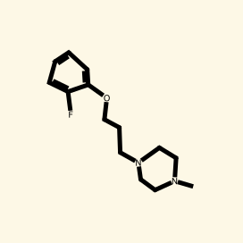 CN1CCN(CCCOc2cc[c]cc2F)CC1